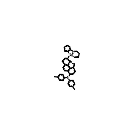 Cc1ccc(N(c2ccc(C)cc2)c2ccc3ccc4c(N5B6C=CCCN6c6ccccc65)ccc5ccc2c3c54)cc1